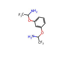 NC(Oc1cccc(OC(N)C(F)(F)F)c1)C(F)(F)F